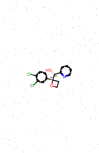 O[C@H](c1ccccn1)[C@]1(c2ccc(Cl)c(Cl)c2)CCO1